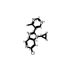 Cc1ncncc1-c1nc2cnc(Cl)cc2n1C1CC1